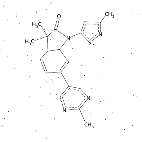 Cc1cc(N2C(=O)C(C)(C)C3C=CC(c4cnc(C)nc4)=CC32)sn1